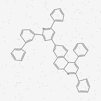 C1=CC2N=C(c3ccccc3)C=C(c3ccccc3)C2c2ccc(-c3cc(-c4ccccc4)nc(-c4cccc(-c5ccccc5)c4)c3)cc21